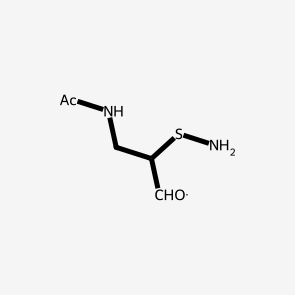 CC(=O)NCC([C]=O)SN